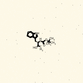 CC(O)[C@@H](Cc1c[nH]c2ccccc12)NC(=O)OC(C)(C)C